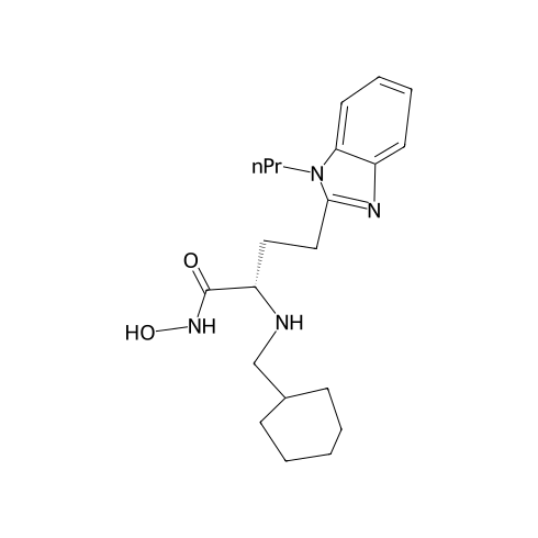 CCCn1c(CC[C@H](NCC2CCCCC2)C(=O)NO)nc2ccccc21